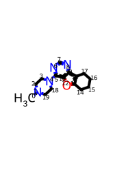 CN1CCN(c2ncnc3c4c(oc23)CCCC4)CC1